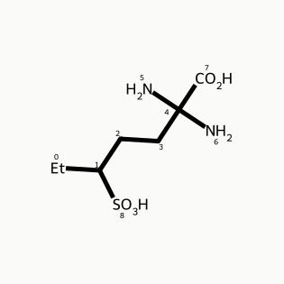 CCC(CCC(N)(N)C(=O)O)S(=O)(=O)O